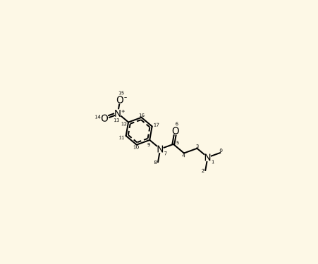 CN(C)CCC(=O)N(C)c1ccc([N+](=O)[O-])cc1